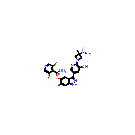 CC(C)NC1(C)CN(c2ncc(-c3n[nH]c4cc(F)c(O[C@H](N)c5c(Cl)cncc5Cl)cc34)cc2C#N)C1